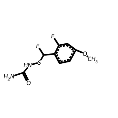 COc1ccc(C(F)SNC(N)=O)c(F)c1